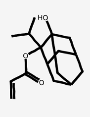 C=CC(=O)OC1(C(C)C)C2CC3CC(C2)CC1(O)C3